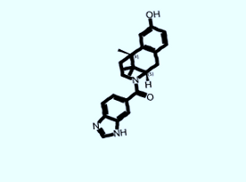 CC1(C)[C@@H]2Cc3ccc(O)cc3[C@@]1(C)CCN2C(=O)c1ccc2nc[nH]c2c1